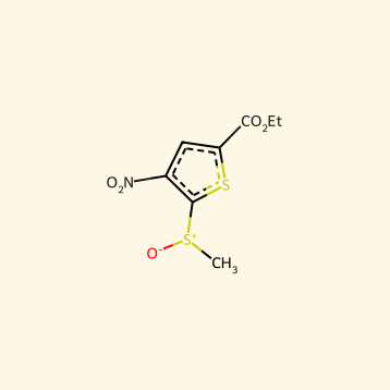 CCOC(=O)c1cc([N+](=O)[O-])c([S+](C)[O-])s1